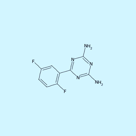 Nc1nc(N)nc(-c2cc(F)ccc2F)n1